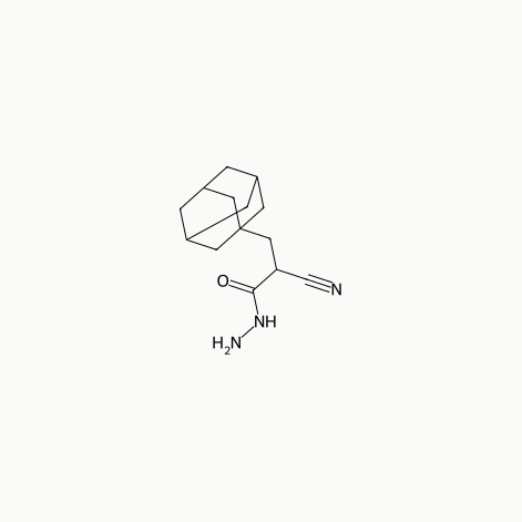 N#CC(CC12CC3CC(CC(C3)C1)C2)C(=O)NN